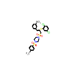 O=[N+]([O-])c1cccc(C=C(CS(=O)(=O)N2CCN(S(=O)(=O)c3ccc(C(F)(F)F)cc3)CC2)Sc2cc(Cl)ccc2Cl)c1